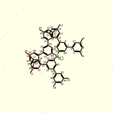 Cc1cc(C)cc(-c2cc(-c3cc(C)cc(C)c3)cc([Si](Cl)(c3cc(-c4cc(C)cc(C)c4)cc(-c4cc(C)cc(C)c4)c3)c3cc(-c4cc(C)cc(C)c4)cc(-c4cc(C)cc(C)c4)c3)c2)c1